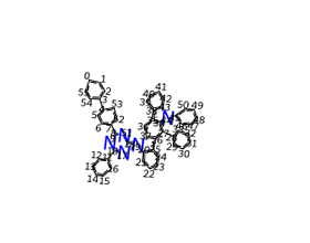 c1ccc(-c2ccc(-c3nc(-c4ccccc4)nc(-n4c5ccccc5c5c(-c6ccccc6)c6c(cc54)c4ccccc4n6-c4ccccc4)n3)cc2)cc1